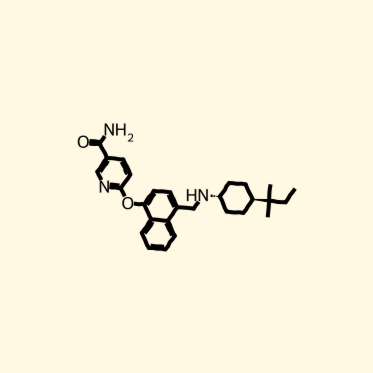 CCC(C)(C)[C@H]1CC[C@H](NCc2ccc(Oc3ccc(C(N)=O)cn3)c3ccccc23)CC1